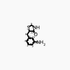 Nc1cccc(CC2SCNC2=O)c1